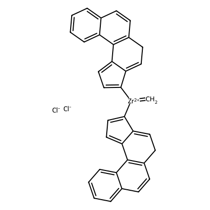 [CH2]=[Zr+2]([C]1=CC=C2C1=CCc1ccc3ccccc3c12)[C]1=CC=C2C1=CCc1ccc3ccccc3c12.[Cl-].[Cl-]